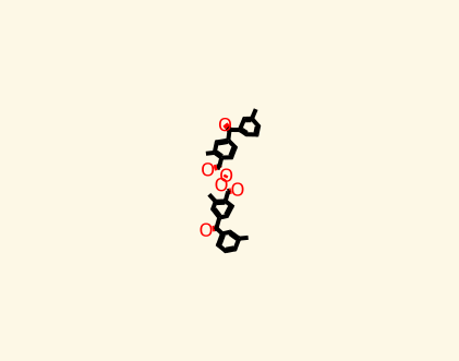 Cc1cccc(C(=O)c2ccc(C(=O)OOC(=O)c3ccc(C(=O)c4cccc(C)c4)cc3C)c(C)c2)c1